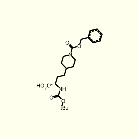 CC(C)(C)OC(=O)N[C@@H](CCC1CCN(C(=O)OCc2ccccc2)CC1)C(=O)O